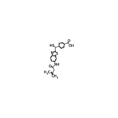 CN(C)CC(=O)Nc1ccc2nc(C(S)c3ccc(C(=O)O)cc3)sc2c1